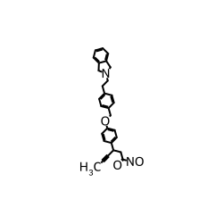 CC#CC(CC(=O)N=O)c1ccc(OCc2ccc(CCN3Cc4ccccc4C3)cc2)cc1